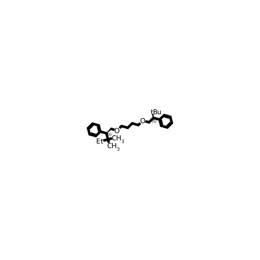 CCC(C)(C)[C@H](COCCCCOC[C@H](c1ccccc1)C(C)(C)C)c1ccccc1